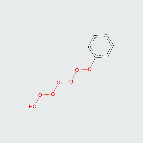 OOOOOOOc1ccccc1